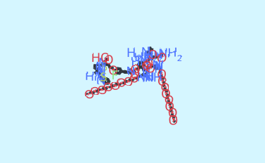 COCCOCCOCCOCCOCCOCCOCCOCCN/C=C(/CN(Cc1cc(NC(=O)C(CCCNC(N)=O)NC(=O)C(N)C(C)C)ccc1COC(=O)N(C)CC#Cc1ccc(OCCCc2sc(N3CCCc4c3nnc(Nc3nc5ccccc5s3)c4C)nc2C(=O)O)c(F)c1)C(=O)OCc1cn(CCOCCOCCOCCOCCOCCOCCOCCOC)nn1)N=N